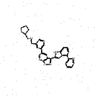 c1ccc(-c2cccc3[nH]c(-c4n[nH]c5ncc(-c6cncc(CNCC7CCCC7)c6)cc45)cc23)nc1